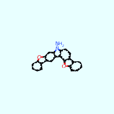 Nn1c2cc3oc4ccccc4c3cc2c2c3oc4ccccc4c3ccc21